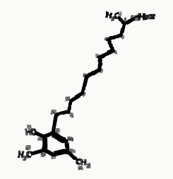 CCCCCCC(C)CCCCCCCCCCc1cc(C)cc(C)c1O